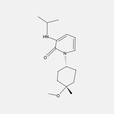 CO[C@]1(C)CC[C@H](n2cccc(NC(C)C)c2=O)CC1